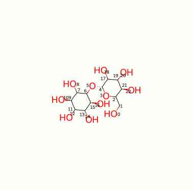 OCC1O[C@H](OC2C(O)[C@H](O)C(O)C(O)[C@@H]2O)C(O)C(O)[C@H]1O